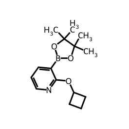 CC1(C)OB(c2cccnc2OC2CCC2)OC1(C)C